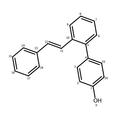 Oc1ccc(-c2ccccc2C=Cc2ccccc2)cc1